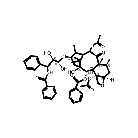 CC(=O)OC1C(=O)[C@@]2(C)[C@H]([C@H](OC(=O)c3ccccc3)[C@]3(O)C[C@@H](O[C@H](O)[C@H](O)[C@@H](NC(=O)c4ccccc4)c4ccccc4)C(C)C1C3(C)C)[C@]1(OC(C)=O)CO[C@@H]1C[C@@H]2C